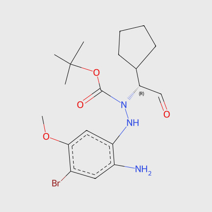 COc1cc(NN(C(=O)OC(C)(C)C)[C@@H](C=O)C2CCCC2)c(N)cc1Br